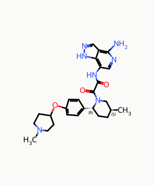 C[C@H]1CC[C@H](c2ccc(OC3CCN(C)CC3)cc2)N(C(=O)C(=O)Nc2cnc(N)c3cn[nH]c23)C1